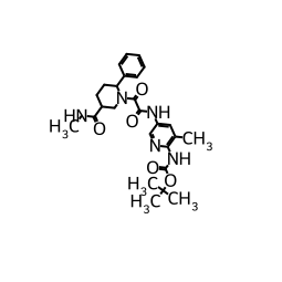 CNC(=O)C1CCC(c2ccccc2)N(C(=O)C(=O)Nc2cnc(NC(=O)OC(C)(C)C)c(C)c2)C1